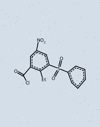 CCc1c(C(=O)Cl)cc([N+](=O)[O-])cc1S(=O)(=O)c1ccccc1